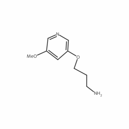 COc1cncc(OCCCN)c1